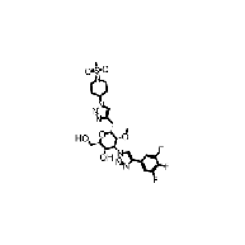 CO[C@@H]1[C@@H](n2cc(-c3cc(F)c(F)c(F)c3)nn2)[C@@H](O)[C@@H](CO)O[C@@H]1Cc1cn(C2CCN(S(C)(=O)=O)CC2)nn1